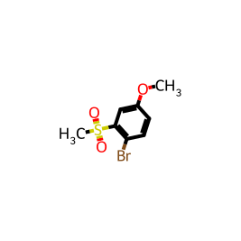 COc1ccc(Br)c(S(C)(=O)=O)c1